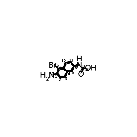 Nc1ccc2cc(NC(=O)O)ccc2c1Br